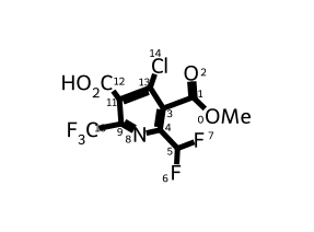 COC(=O)c1c(C(F)F)nc(C(F)(F)F)c(C(=O)O)c1Cl